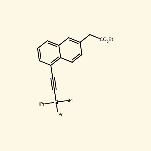 CCOC(=O)Cc1ccc2c(C#C[Si](C(C)C)(C(C)C)C(C)C)cccc2c1